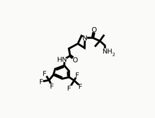 CC(C)(CN)C(=O)N1CC(CC(=O)Nc2cc(C(F)(F)F)cc(C(F)(F)F)c2)C1